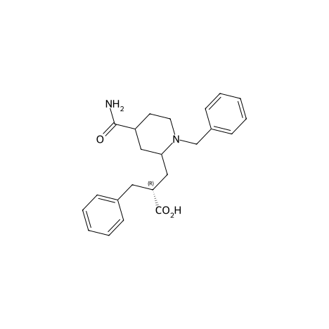 NC(=O)C1CCN(Cc2ccccc2)C(C[C@@H](Cc2ccccc2)C(=O)O)C1